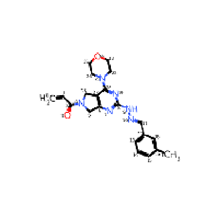 C=CC(=O)N1Cc2nc(N/N=C/c3cccc(C)c3)nc(N3CCOCC3)c2C1